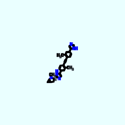 Cc1cc(-c2cnc[nH]2)ccc1C#Cc1ccc(-c2cnc([C@@H]3CC4CC4N3C)[nH]2)cc1C